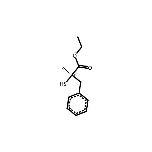 CCOC(=O)[C@](C)(S)Cc1ccccc1